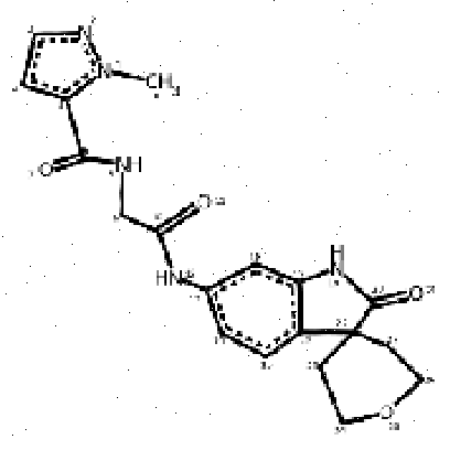 Cn1nccc1C(=O)NCC(=O)Nc1ccc2c(c1)NC(=O)C21CCOCC1